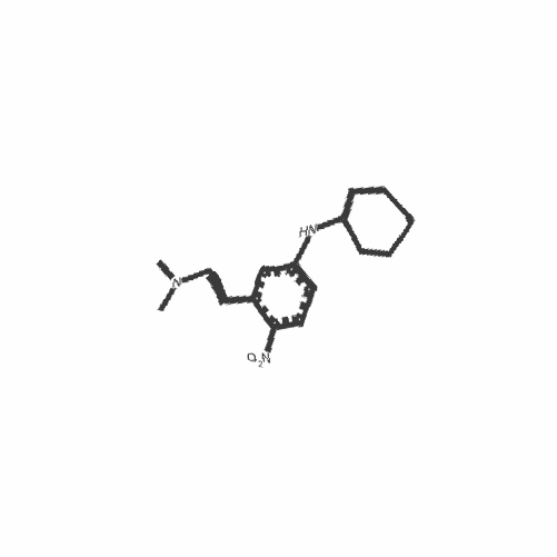 CN(C)/C=C/c1cc(NC2CCCCC2)ccc1[N+](=O)[O-]